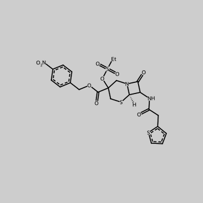 CCS(=O)(=O)OC1(C(=O)OCc2ccc([N+](=O)[O-])cc2)CS[C@@H]2C(NC(=O)Cc3cccs3)C(=O)N2C1